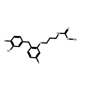 CC(C)(C)OC(=O)NCCCOc1cc(F)ccc1Cc1ccc(F)c(C#N)c1